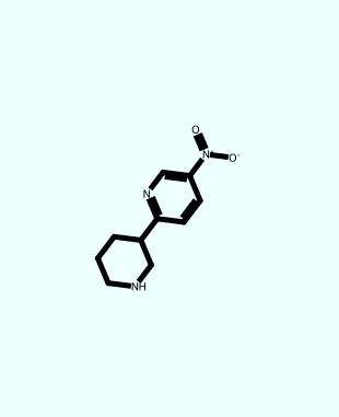 O=[N+]([O-])c1ccc(C2CCCNC2)nc1